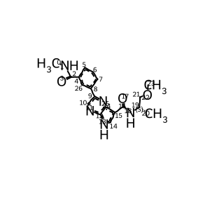 CNC(=O)c1cccc(-c2cnc3[nH]cc(C(=O)N[C@@H](C)COC)c3n2)c1